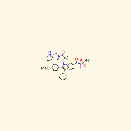 COc1ccc(-c2c(C3CCCCC3)c3ccc(C(=O)NS(=O)(=O)C(C)C)cc3n2CC2(C(=O)N3CCC4(CCCN4)CC3)CC2)cc1